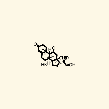 C[C@]12CCC(=O)C=C1CC[C@@H]1[C@@H]2[C@@H](O)C[C@]2(C=O)[C@@H](C(=O)CO)CC[C@@H]12.[KH]